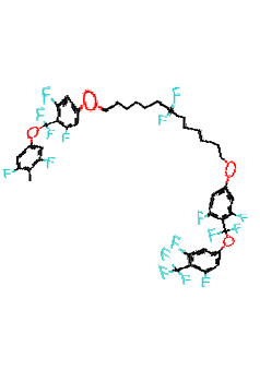 Cc1c(F)cc(OC(F)(F)c2c(F)cc(OCCCCCCC(F)(F)CCCCCCOc3cc(F)c(C(F)(F)Oc4cc(F)c(C(F)(F)F)c(F)c4)c(F)c3)cc2F)cc1F